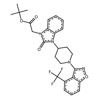 CC(C)(C)OC(=O)Cn1c(=O)n(C2CCN(c3noc4cccc(C(F)(F)F)c34)CC2)c2ccccc21